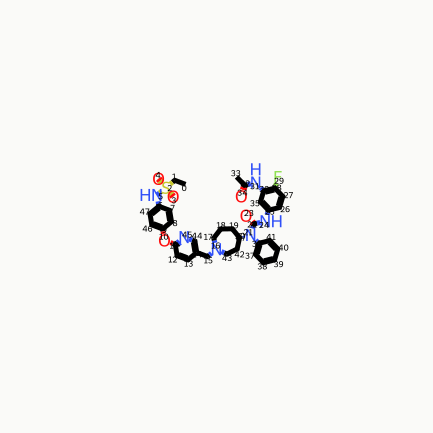 CCS(=O)(=O)Nc1ccc(Oc2ccc(CN3CCC[C@H](N(C(=O)Nc4ccc(F)c(NC(C)=O)c4)c4ccccc4)CC3)cn2)cc1